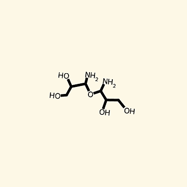 NC(OC(N)C(O)CO)C(O)CO